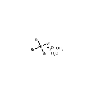 O.O.O.[Br][Hf]([Br])([Br])[Br]